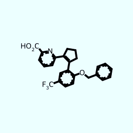 O=C(O)c1cccc(C2=C(c3cc(C(F)(F)F)ccc3OCc3ccccc3)CCC2)n1